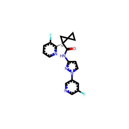 O=C(Nc1ccn(-c2cncc(F)c2)n1)[C@@]1(c2ncccc2F)CC12CC2